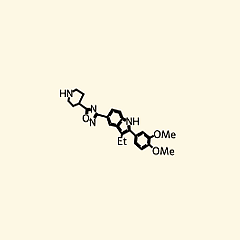 CCc1c(-c2ccc(OC)c(OC)c2)[nH]c2ccc(-c3noc(C4CCNCC4)n3)cc12